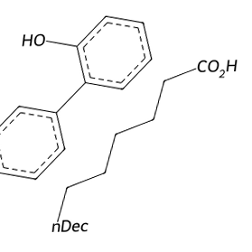 CCCCCCCCCCCCCCCC(=O)O.Oc1ccccc1-c1ccccc1